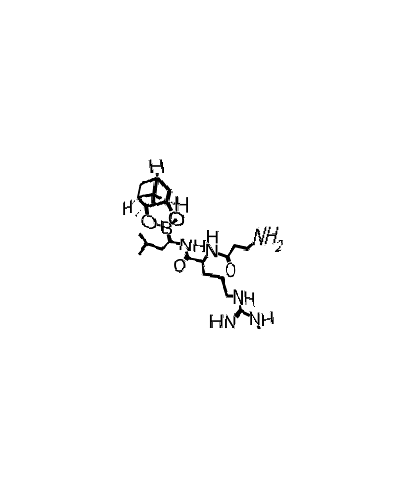 CNC(=N)NCCC[C@H](NC(=O)CCN)C(=O)N[C@@H](CC(C)C)B1O[C@@H]2C[C@@H]3C[C@@H](C3(C)C)[C@]2(C)O1